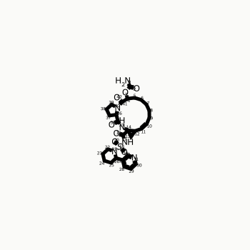 NC(=O)OC1CCCCCC=CC2CC2(C(=O)NS(=O)(=O)N2CCCCC2c2cccnc2)NC(=O)C2CCCN2C1=O